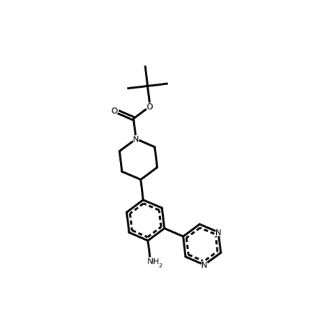 CC(C)(C)OC(=O)N1CCC(c2ccc(N)c(-c3cncnc3)c2)CC1